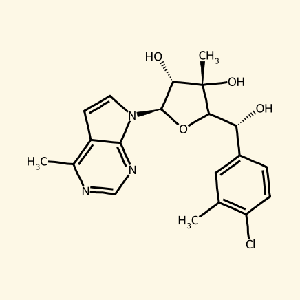 Cc1cc([C@@H](O)C2O[C@@H](n3ccc4c(C)ncnc43)[C@H](O)[C@]2(C)O)ccc1Cl